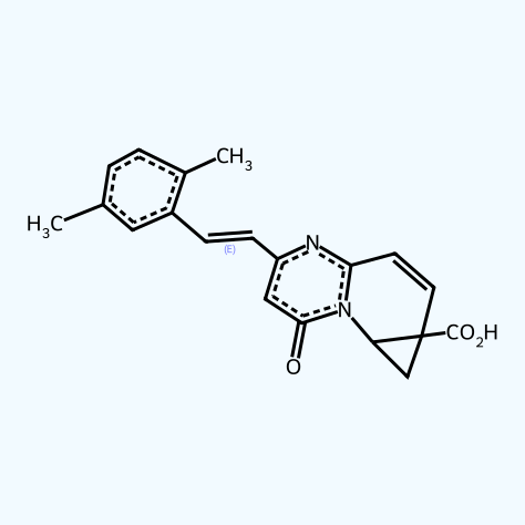 Cc1ccc(C)c(/C=C/c2cc(=O)n3c(n2)C=CC2(C(=O)O)CC32)c1